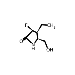 CC[C@@H]1[C@H](F)C(=O)N[C@@H]1CO